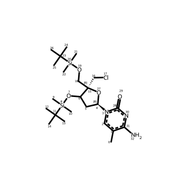 Cc1cn([C@H]2CC(O[Si](C)(C)C(C)(C)C)[C@@](CCl)(CO[Si](C)(C)C(C)(C)C)O2)c(=O)nc1N